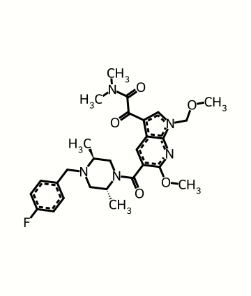 COCn1cc(C(=O)C(=O)N(C)C)c2cc(C(=O)N3C[C@H](C)N(Cc4ccc(F)cc4)C[C@H]3C)c(OC)nc21